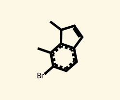 Cc1c(Br)ccc2c1C(C)C=C2